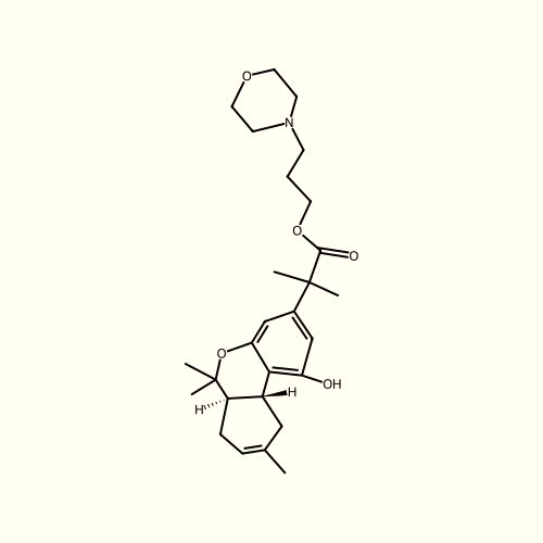 CC1=CC[C@@H]2[C@@H](C1)c1c(O)cc(C(C)(C)C(=O)OCCCN3CCOCC3)cc1OC2(C)C